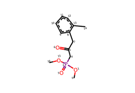 COP(=O)(CC(=O)Cc1ccccc1C)OC